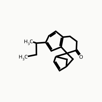 CCC(C)c1ccc2c(c1)C1(CC3C=CC1C3)C(=O)CC2